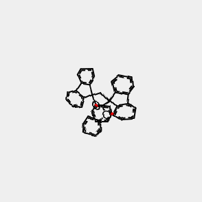 O=C(Oc1ccccc1)C1(CC2(c3ccccc3)c3ccccc3-c3ccccc32)c2ccccc2-c2ccccc21